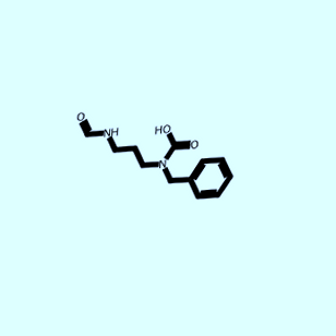 O=CNCCCN(Cc1ccccc1)C(=O)O